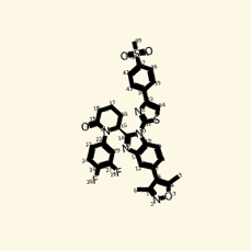 Cc1noc(C)c1-c1ccc2c(c1)nc([C@@H]1CCCC(=O)N1c1ccc(F)c(F)c1)n2-c1nc(-c2ccc(S(C)(=O)=O)cc2)cs1